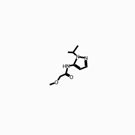 COCC(=O)Nc1ccnn1C(C)C